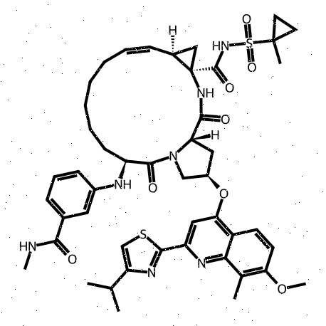 CNC(=O)c1cccc(N[C@H]2CCCCC/C=C\[C@H]3C[C@@]3(C(=O)NS(=O)(=O)C3(C)CC3)NC(=O)[C@@H]3C[C@@H](Oc4cc(-c5nc(C(C)C)cs5)nc5c(C)c(OC)ccc45)CN3C2=O)c1